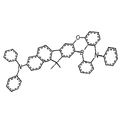 CC1(C)c2cc3c(cc2-c2ccc4cc(N(c5ccccc5)c5ccccc5)ccc4c21)Oc1cccc2c1B3c1ccccc1N2c1ccccc1